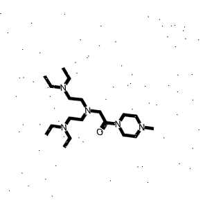 CCN(CC)CCN(CCN(CC)CC)CC(=O)N1CCN(C)CC1